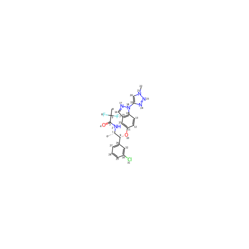 C[C@H](NC(=O)C(C)(F)F)[C@H](Oc1ccc2c(cnn2-c2cn(C)nn2)c1)c1cccc(Cl)c1